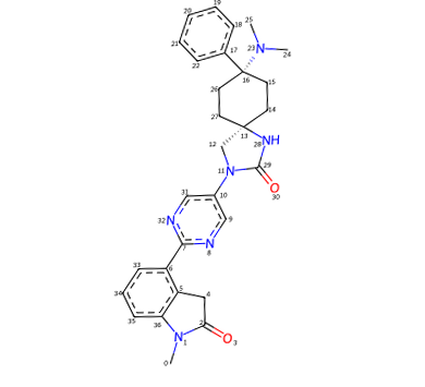 CN1C(=O)Cc2c(-c3ncc(N4C[C@]5(CC[C@@](c6ccccc6)(N(C)C)CC5)NC4=O)cn3)cccc21